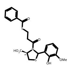 COc1cccc(C2SC[C@@H](C(=O)O)N2C(=O)CCSC(=O)c2ccccc2)c1O